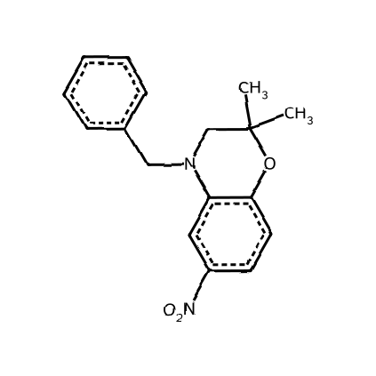 CC1(C)CN(Cc2ccccc2)c2cc([N+](=O)[O-])ccc2O1